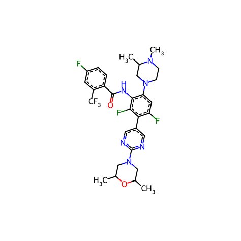 CC1CN(c2ncc(-c3c(F)cc(N4CCN(C)C(C)C4)c(NC(=O)c4ccc(F)cc4C(F)(F)F)c3F)cn2)CC(C)O1